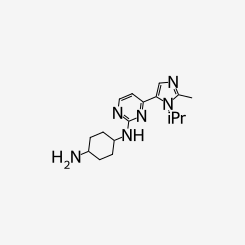 Cc1ncc(-c2ccnc(NC3CCC(N)CC3)n2)n1C(C)C